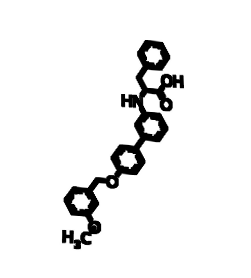 COc1cccc(COc2ccc(-c3cccc(NC(Cc4ccccc4)C(=O)O)c3)cc2)c1